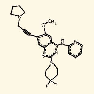 COc1cc2c(Nc3ccccn3)nc(N3CCC(F)(F)CC3)nc2cc1C#CCN1CCCC1